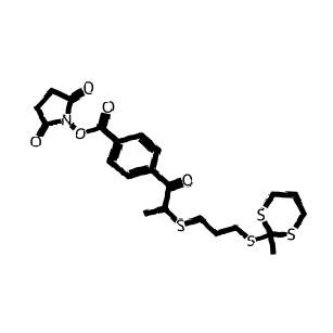 CC(SCCCSC1(C)SCCCS1)C(=O)c1ccc(C(=O)ON2C(=O)CCC2=O)cc1